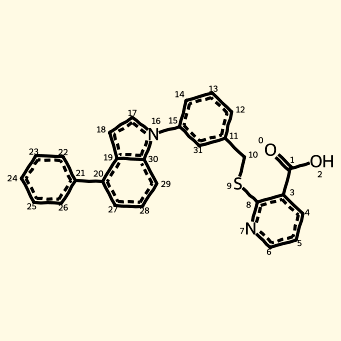 O=C(O)c1cccnc1SCc1cccc(-n2ccc3c(-c4ccccc4)cccc32)c1